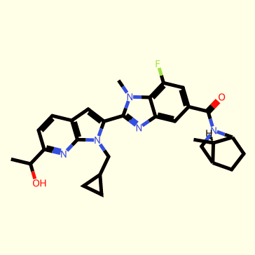 CC(O)c1ccc2cc(-c3nc4cc(C(=O)N5CC6CCC5[C@@H]6C)cc(F)c4n3C)n(CC3CC3)c2n1